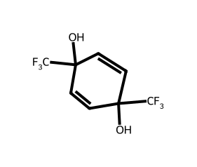 OC1(C(F)(F)F)C=CC(O)(C(F)(F)F)C=C1